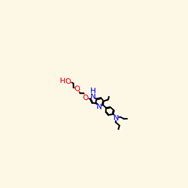 CCCN(CCC)c1ccc(-c2nc3cc(OCCOCCO)[nH]c3cc2CC)cc1